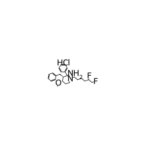 COc1ccccc1C[C@@H]1CCCN(CCCCC(F)CF)[C@]1(N)c1ccccc1.Cl